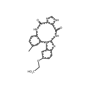 Cc1ccc2[nH]c(=O)c3nc[nH]c3c(=O)[nH]c3nc4ccc(OCC(=O)O)cc4n3c2c1